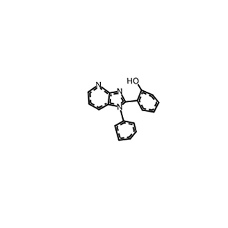 Oc1ccccc1-c1nc2ncccc2n1-c1ccccc1